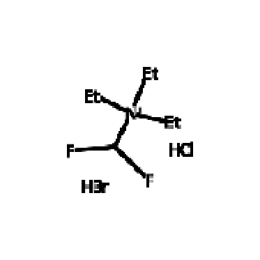 Br.CC[N+](CC)(CC)C(F)F.Cl